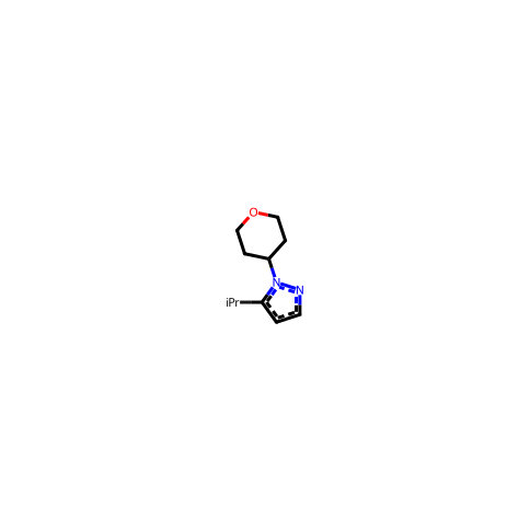 CC(C)c1ccnn1C1CCOCC1